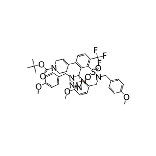 COc1ccc(CN(Cc2ccc(OC)cc2)S(=O)(=O)c2c(C(F)(F)F)ccc(C3=CCN(C(=O)OC(C)(C)C)CC3)c2-c2nnnn2Cc2ccc(OC)cc2)cc1